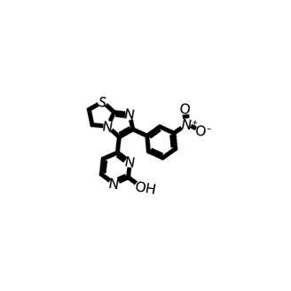 O=[N+]([O-])c1cccc(-c2nc3n(c2-c2ccnc(O)n2)CCS3)c1